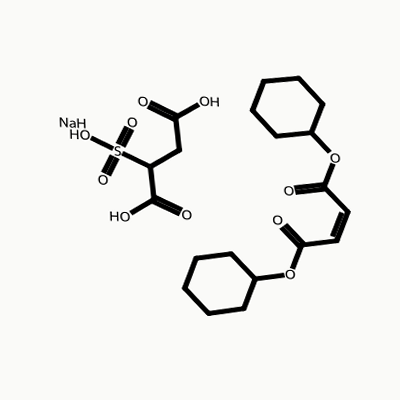 O=C(/C=C\C(=O)OC1CCCCC1)OC1CCCCC1.O=C(O)CC(C(=O)O)S(=O)(=O)O.[NaH]